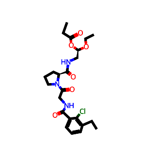 CCO[C@@H](CNC(=O)[C@@H]1CCCN1C(=O)CNC(=O)c1cccc(CC)c1Cl)OC(=O)CC